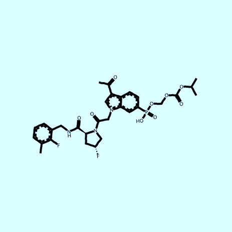 CC(=O)c1cn(CC(=O)N2C[C@H](F)C[C@H]2C(=O)NCc2cccc(C)c2F)c2cc(P(=O)(O)OCOC(=O)OC(C)C)ccc12